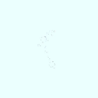 O=C(Nc1ccc2c(n1)C=C(N1CCN(c3ccncc3)CC1)CN2)NC1CCCC1